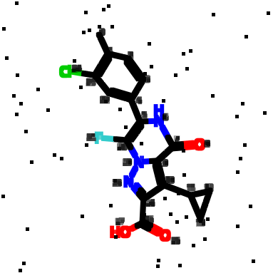 Cc1ccc(-c2[nH]c(=O)c3c(C4CC4)c(C(=O)O)nn3c2F)cc1Cl